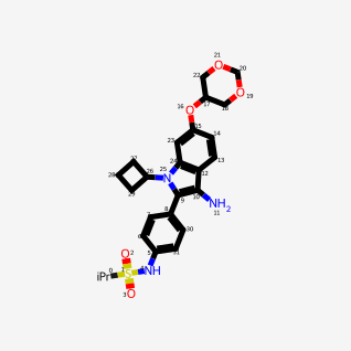 CC(C)S(=O)(=O)Nc1ccc(-c2c(N)c3ccc(OC4COCOC4)cc3n2C2CCC2)cc1